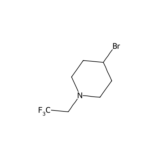 FC(F)(F)CN1CCC(Br)CC1